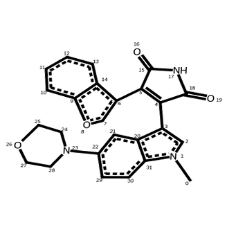 Cn1cc(C2=C(c3coc4ccccc34)C(=O)NC2=O)c2cc(N3CCOCC3)ccc21